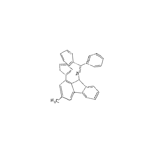 Cc1cc(C2=CC=CC2)c2c(c1)-c1ccccc1[CH]2[Zr]=[C](c1ccccc1)c1ccccc1